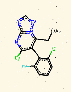 CC(=O)OCc1c(-c2c(F)cccc2Cl)c(Cl)nc2ncnn12